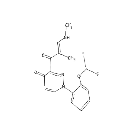 CN/C=C(\C)C(=O)c1nn(-c2ccccc2OC(F)F)ccc1=O